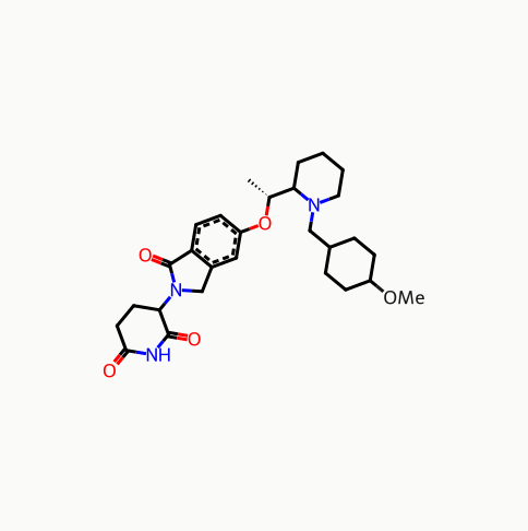 COC1CCC(CN2CCCCC2[C@@H](C)Oc2ccc3c(c2)CN(C2CCC(=O)NC2=O)C3=O)CC1